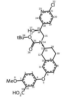 COc1ccc(Oc2ccc3c(c2)C[C@@H](N(C[C@@H](O)c2ccc(Cl)nc2)C(=O)OC(C)(C)C)CC3)cc1C(=O)O